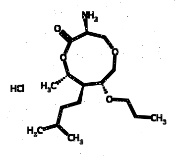 CCCO[C@H]1COC[C@H](N)C(=O)O[C@@H](C)[C@@H]1CCC(C)C.Cl